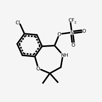 CC1(C)CNC(OS(=O)(=O)C(F)(F)F)c2cc(Cl)ccc2O1